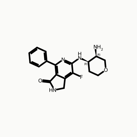 N[C@H]1COCC[C@H]1Nc1nc(-c2ccccc2)c2c(c1F)CNC2=O